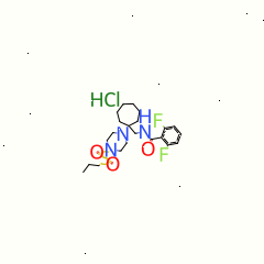 CCCS(=O)(=O)N1CCN(C2(CNC(=O)c3c(F)cccc3F)CCCCCC2)CC1.Cl